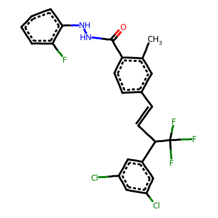 Cc1cc(/C=C/C(c2cc(Cl)cc(Cl)c2)C(F)(F)F)ccc1C(=O)NNc1ccccc1F